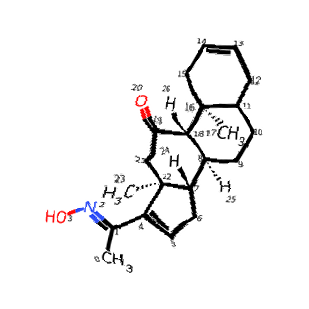 CC(=NO)C1=CC[C@H]2[C@@H]3CCC4CC=CC[C@]4(C)[C@H]3C(=O)C[C@]12C